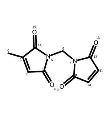 CC1=CC(=O)N(CN2C(=O)C=CC2=O)C1=O